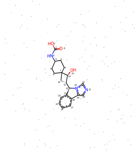 O=C(O)NC1CCC2(CC1)C[C@@H]([C@@H]1c3ccccc3-c3cncn31)[C@@H]2O